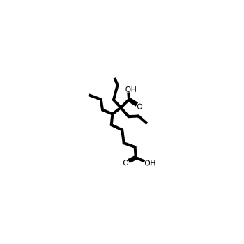 CCCC(CCCCC(=O)O)C(CCC)(CCC)C(=O)O